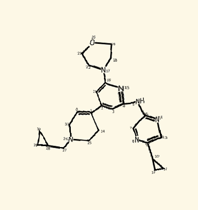 C1=C(c2cc(Nc3cnc(C4CC4)cn3)nc(N3CCOCC3)c2)CCN(CC2CC2)C1